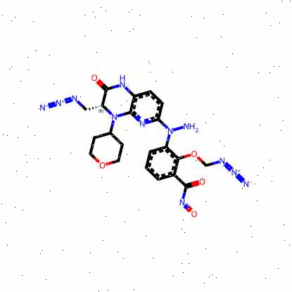 [N-]=[N+]=NCOc1c(C(=O)N=O)cccc1N(N)c1ccc2c(n1)N(C1CCOCC1)[C@H](CN=[N+]=[N-])C(=O)N2